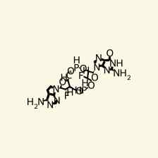 Nc1nc2c(ncn2[C@@H]2OC3OPOC[C@H]4[C@H](F)[C@H](n5ccc6c(N)ncnc65)O[C@@H]4COPO[C@@H]2[C@H]3F)c(=O)[nH]1